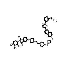 COc1cc(-c2nc(-c3ccc4cc(O[C@H]5C[C@H](OC6CCN(CCN7CCN(c8ccc9c(c8)C(=O)N(C8CCC(=O)NC8=O)C9=O)CC7)CC6)C5)ccc4n3)no2)ccn1